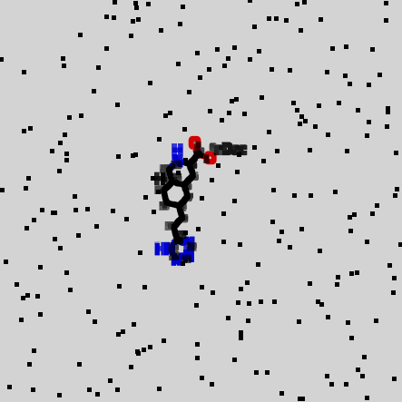 CCCCCCCCCCOC(=O)C1CC2CC(CCc3nnn[nH]3)CC[C@H]2CN1